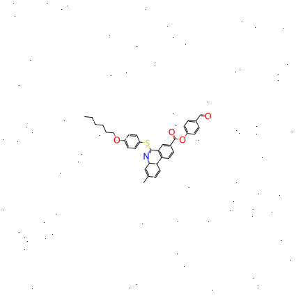 CCCCCCOc1ccc(SC2=NC3C=C(C)C=CC3c3ccc(C(=O)Oc4ccc(C=O)cc4)cc32)cc1